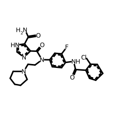 NC(=O)c1[nH]cnc1C(=O)N(CCN1CCCCC1)c1ccc(NC(=O)c2ccccc2Cl)c(F)c1